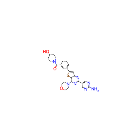 Nc1ncc(-c2nc(N3CCOCC3)c3sc(-c4cccc(C(=O)N5CCC(O)CC5)c4)cc3n2)cn1